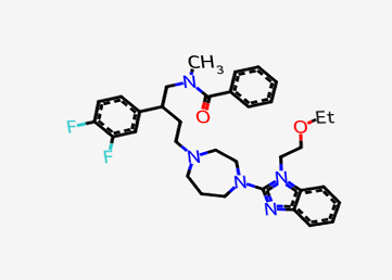 CCOCCn1c(N2CCCN(CCC(CN(C)C(=O)c3ccccc3)c3ccc(F)c(F)c3)CC2)nc2ccccc21